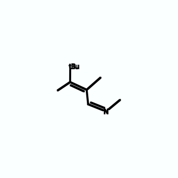 C/N=C\C(C)=C(/C)C(C)(C)C